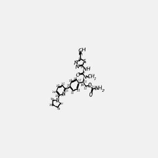 C#Cc1nnc(NC(=O)N(C)[C@@H](COC(N)=O)c2ccc(-c3cccc(N4CCCC4)n3)cc2)s1